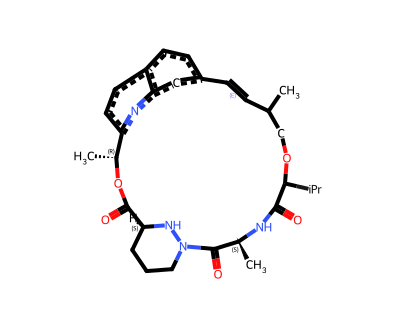 CC1/C=C/c2ccc3ccc(nc3c2)[C@@H](C)OC(=O)[C@@H]2CCCN(N2)C(=O)[C@H](C)NC(=O)C(C(C)C)OC1